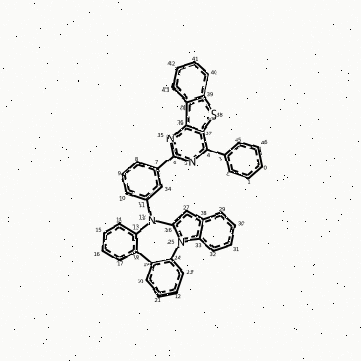 c1ccc(-c2nc(-c3cccc(N4c5ccccc5-c5ccccc5-n5c4cc4ccccc45)c3)nc3c2sc2ccccc23)cc1